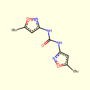 CC(C)(C)c1cc(NC(=O)Nc2cc(C(C)(C)C)on2)no1